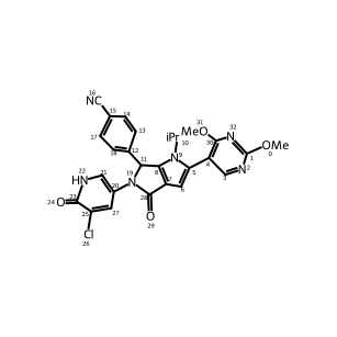 COc1ncc(-c2cc3c(n2C(C)C)C(c2ccc(C#N)cc2)N(c2c[nH]c(=O)c(Cl)c2)C3=O)c(OC)n1